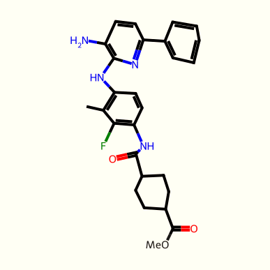 COC(=O)C1CCC(C(=O)Nc2ccc(Nc3nc(-c4ccccc4)ccc3N)c(C)c2F)CC1